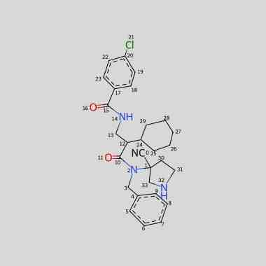 N#CC1(N(Cc2ccccc2)C(=O)C(CNC(=O)c2ccc(Cl)cc2)C2CCCCC2)CCNC1